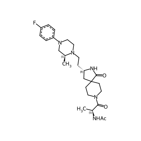 CC(=O)N[C@@H](C)C(=O)N1CCC2(CC1)C[C@H](CCN1CCN(c3ccc(F)cc3)C[C@@H]1C)NC2=O